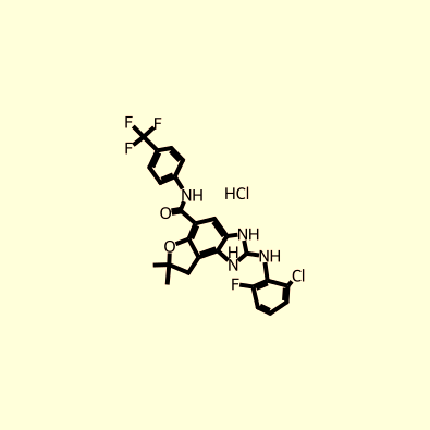 CC1(C)Cc2c3c(cc(C(=O)Nc4ccc(C(F)(F)F)cc4)c2O1)NC(Nc1c(F)cccc1Cl)N3.Cl